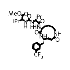 COC(=O)C(NC(=O)NC(C(=O)N[C@H]1CCCCNC(=O)/C=C/[C@H](Cc2cccc(C(F)(F)F)c2)NC1=O)C(C)C)C(C)C